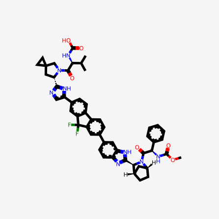 COC(=O)N[C@@H](C(=O)N1[C@@H]2CC[C@@H](C2)[C@H]1c1nc2ccc(-c3ccc4c(c3)C(F)(F)c3cc(-c5cnc([C@@H]6CC7(CC7)CN6C(=O)[C@@H](NC(=O)O)C(C)C)[nH]5)ccc3-4)cc2[nH]1)c1ccccc1